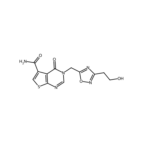 NC(=O)c1csc2ncn(Cc3nc(CCO)no3)c(=O)c12